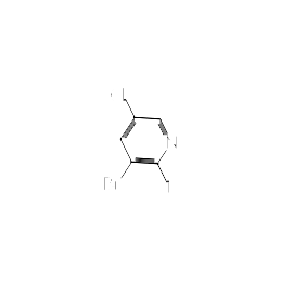 Clc1cnc(I)c(Br)c1